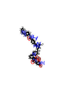 Cc1nc(-c2ccc(C(=O)Nc3ccc4[nH]c(CN5CCC[C@@H]5C)nc4c3)cc2)nn1CCCC1CCN(c2cccc3c2C(=O)N(C2CCC(=O)NC2=O)C3=O)CC1